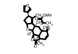 COC(=O)C(C)[C@H]1[C@]2(C)C3=C(C)[C@H](c4ccoc4)CC3O[C@@H]2[C@@H]2OC(=O)[C@]3(C)C=CC(=O)[C@@]1(C)[C@@H]23